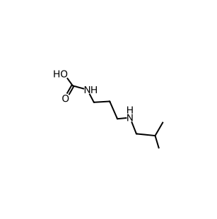 CC(C)CNCCCNC(=O)O